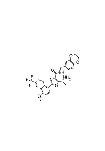 COc1ccc(-c2nc(C(=O)NCc3ccc4c(c3)OCCO4)c([C@H](C)N)o2)c2ccc(C(F)(F)F)nc12